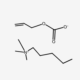 C=CCOC(=O)[O-].CCCCC[N+](C)(C)C